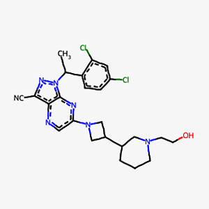 CC(c1ccc(Cl)cc1Cl)n1nc(C#N)c2ncc(N3CC(C4CCCN(CCO)C4)C3)nc21